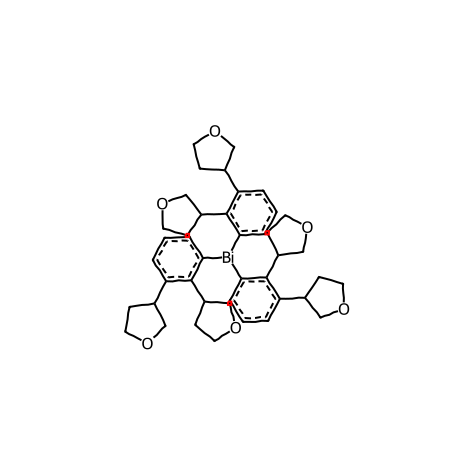 c1cc(C2CCOC2)c(C2CCOC2)[c]([Bi]([c]2cccc(C3CCOC3)c2C2CCOC2)[c]2cccc(C3CCOC3)c2C2CCOC2)c1